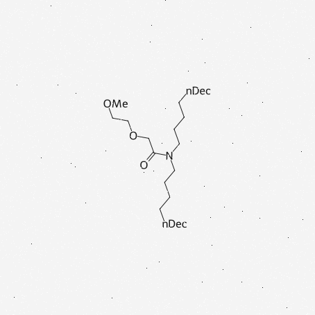 CCCCCCCCCCCCCCN(CCCCCCCCCCCCCC)C(=O)COCCOC